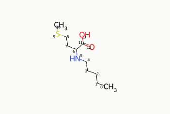 CCCCCNC(CCSC)C(=O)O